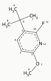 COc1ccc(C(C)(C)C)c(F)n1